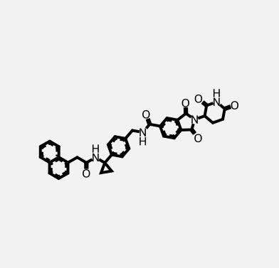 O=C1CCC(N2C(=O)c3ccc(C(=O)NCc4ccc(C5(NC(=O)Cc6cccc7ccccc67)CC5)cc4)cc3C2=O)C(=O)N1